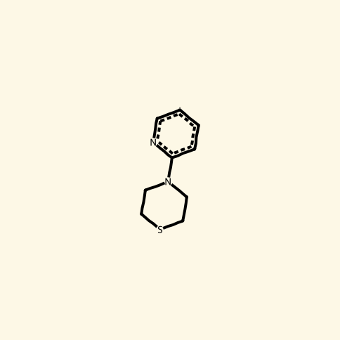 [c]1ccc(N2CCSCC2)nc1